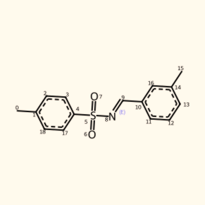 Cc1ccc(S(=O)(=O)/N=C/c2cccc(C)c2)cc1